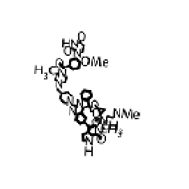 CNCCN(C)C(=O)OCC(OC1CC1)(c1ccccc1)c1nc(N2CCC(CN3CCN(C(=O)c4ccc(OC)c(N5CCC(=O)NC5=O)c4)C(C)C3)CC2)nc2ccc(-c3cn(C)c(=O)c4[nH]ccc34)cc12